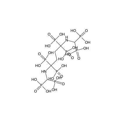 O=P(O)(O)C(NC(CCC(NC(P(=O)(O)O)P(=O)(O)O)(P(=O)(O)O)P(=O)(O)O)(P(=O)(O)O)P(=O)(O)O)P(=O)(O)O